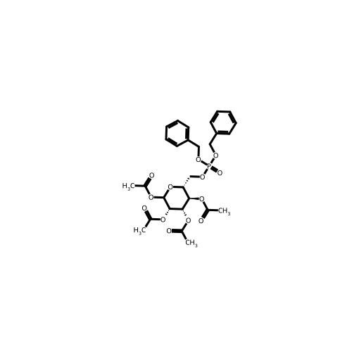 CC(=O)OC1O[C@H](COP(=O)(OCc2ccccc2)OCc2ccccc2)[C@@H](OC(C)=O)[C@H](OC(C)=O)[C@@H]1OC(C)=O